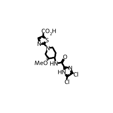 CO[C@H]1CN(c2ncc(C(=O)O)s2)CCC1NC(=O)c1nc(Cl)c(Cl)[nH]1